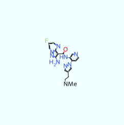 CNCCc1cnn(-c2ccncc2NC(=O)c2c(N)nn3cc(F)cnc23)c1